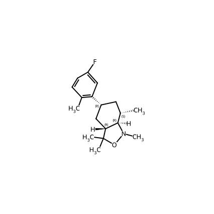 Cc1ccc(F)cc1[C@H]1C[C@@H]2[C@@H]([C@@H](C)C1)N(C)OC2(C)C